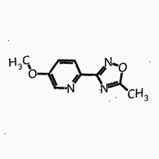 COc1ccc(-c2noc(C)n2)nc1